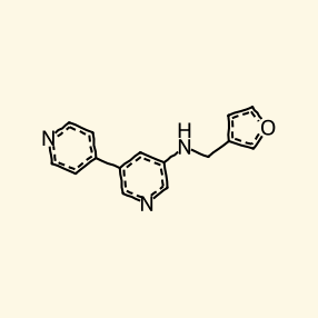 c1cc(-c2cncc(NCc3ccoc3)c2)ccn1